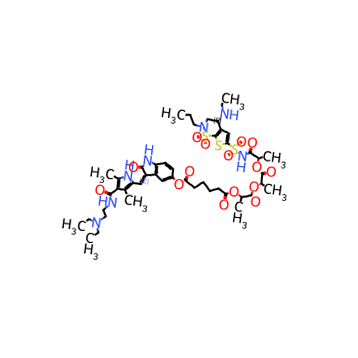 CCCN1C[C@@H](NCC)c2cc(S(=O)(=O)NC(=O)C(C)OC(=O)C(C)OC(=O)C(C)OC(=O)CCCCC(=O)Oc3ccc4c(c3)/C(=C/c3[nH]c(C)c(C(=O)NCCN(CC)CC)c3C)C(=O)N4)sc2S1(=O)=O